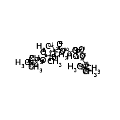 CCC(C)(CC(C)(Br)C(=O)OCC[N+](C)(C)C)C(=O)OCCOP(=O)(O)OCC[N+](C)(C)C